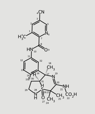 Cc1cc(C#N)cnc1C(=O)Nc1ccc(F)c([C@@]2(C)N=C(NC(=O)O)C(C)(C)[SH]3(=O)NCC[C@@H]23)c1